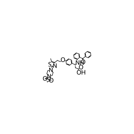 Cc1sc(N2CCN(S(C)(=O)=O)CC2)nc1CCOc1ccc([C@H](CC(=O)O)Nc2ccccc2C(=O)c2ccccc2)cc1